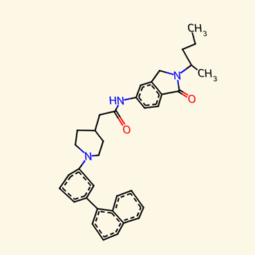 CCCC(C)N1Cc2cc(NC(=O)CC3CCN(c4cccc(-c5cccc6ccccc56)c4)CC3)ccc2C1=O